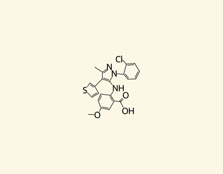 COc1ccc(Nc2c(-c3ccsc3)c(C)nn2-c2ccccc2Cl)c(C(=O)O)c1